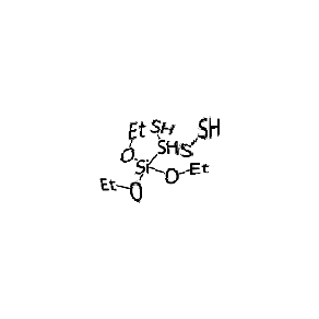 CCO[Si](OCC)(OCC)[SH](S)SS